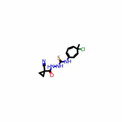 CC1(Cl)C=CC=C(NC(=S)NNC(=O)C2(C#N)CC2)C=C1